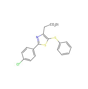 CCOC(=O)Cc1nc(-c2ccc(Cl)cc2)sc1Sc1ccccc1